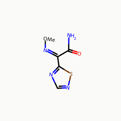 CON=C(C(N)=O)c1ncns1